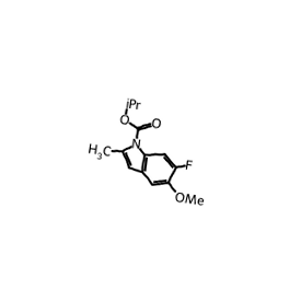 COc1cc2cc(C)n(C(=O)OC(C)C)c2cc1F